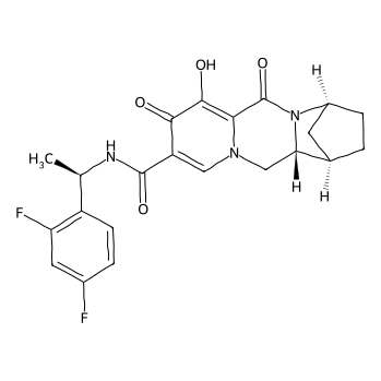 C[C@@H](NC(=O)c1cn2c(c(O)c1=O)C(=O)N1[C@H]3CC[C@H](C3)[C@@H]1C2)c1ccc(F)cc1F